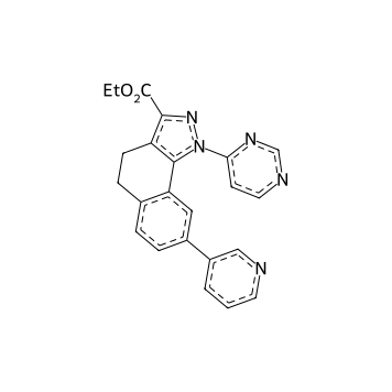 CCOC(=O)c1nn(-c2ccncn2)c2c1CCc1ccc(-c3cccnc3)cc1-2